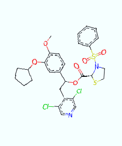 COc1ccc(C(Cc2c(Cl)cncc2Cl)OC(=O)[C@@H]2SCCN2S(=O)(=O)c2ccccc2)cc1OC1CCCC1